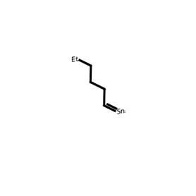 CCCCC[CH]=[Sn]